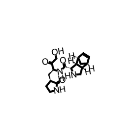 O=C1NCC[C@H]1C[C@H](NC(=O)[C@H]1NC[C@H]2[C@@H]1[C@H]1C=C[C@@H]2C1)C(=O)CO